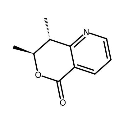 C[C@@H]1OC(=O)c2cccnc2[C@H]1C